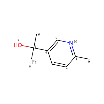 Cc1ccc(C(C)(O)C(C)C)cn1